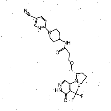 N#Cc1ccc(N2CCC(NC(=O)CCOC[C@@H]3CCCN3c3cn[nH]c(=O)c3C(F)(F)F)CC2)nc1